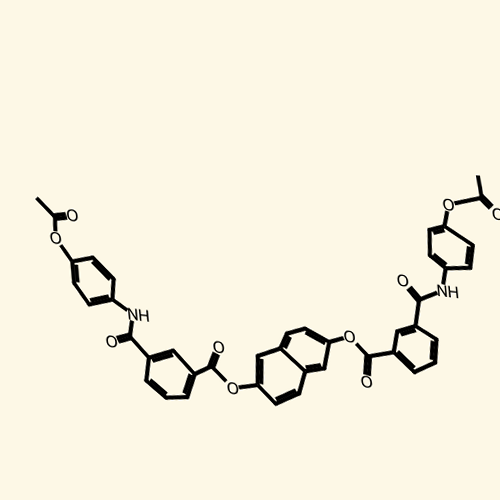 CC(=O)Oc1ccc(NC(=O)c2cccc(C(=O)Oc3ccc4cc(OC(=O)c5cccc(C(=O)Nc6ccc(OC(C)=O)cc6)c5)ccc4c3)c2)cc1